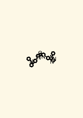 c1ccc(-n2c3ccccc3c3ccc(-c4ccc5oc6ccc(-c7ccc8c9nccnc9n(-c9ccccc9)c8c7)nc6c5n4)cc32)cc1